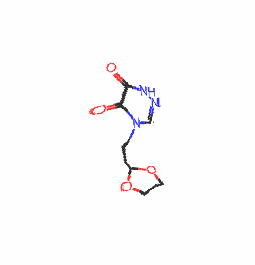 O=c1[nH]n[c]n(CC2OCCO2)c1=O